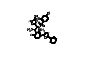 COc1cc(Cl)ccc1S(=O)(=O)N[C@H](C1=NNC(O)O1)[C@H](C)c1c(F)ccc(-c2cnc(-c3ccccc3)o2)c1C